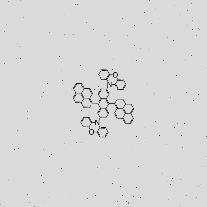 C1=CC2=C(CC1)N(c1ccc3c(-c4ccc5ccc6cccc7ccc4c5c67)c4cc(N5c6ccccc6Oc6ccccc65)ccc4c(-c4ccc5ccc6cccc7ccc4c5c67)c3c1)c1ccccc1O2